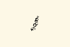 CC(C)(C)OC(=O)N1CCC(n2cc3cc(Br)sc3n2)[C@@H](F)C1